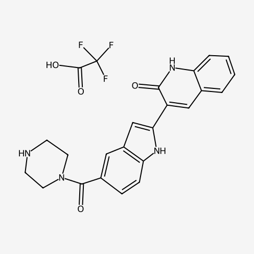 O=C(O)C(F)(F)F.O=C(c1ccc2[nH]c(-c3cc4ccccc4[nH]c3=O)cc2c1)N1CCNCC1